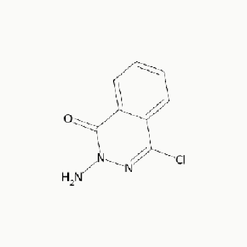 Nn1nc(Cl)c2ccccc2c1=O